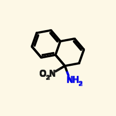 NC1([N+](=O)[O-])CC=Cc2ccccc21